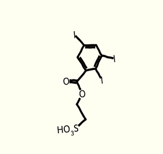 O=C(OCCS(=O)(=O)O)c1cc(I)cc(I)c1I